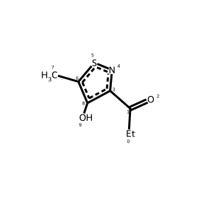 CCC(=O)c1nsc(C)c1O